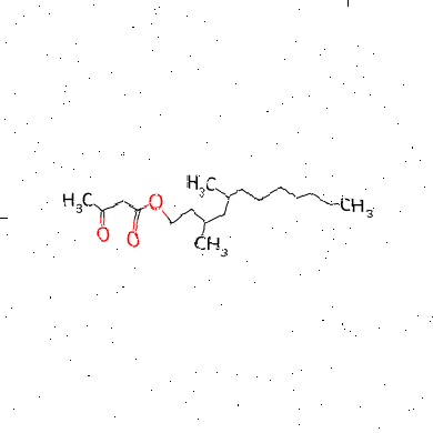 CCCCCCCC(C)CC(C)CCOC(=O)CC(C)=O